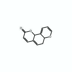 O=C1C=CC2=CCC3OC=CC=C3C2O1